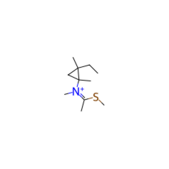 CCC1(C)CC1(C)/[N+](C)=C(/C)SC